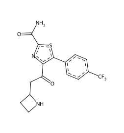 NC(=O)c1nc(C(=O)[CH]C2CCN2)c(-c2ccc(C(F)(F)F)cc2)s1